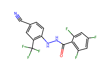 N#Cc1ccc(NNC(=O)c2c(F)cc(F)cc2F)c(C(F)(F)F)c1